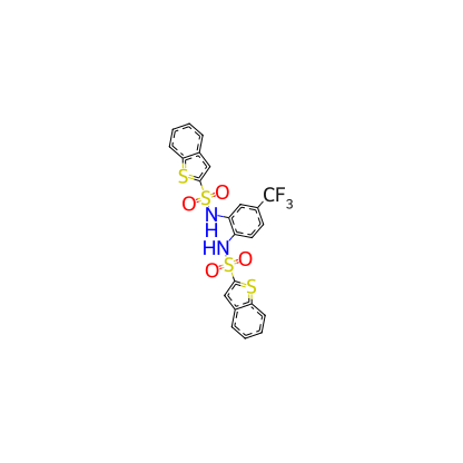 O=S(=O)(Nc1ccc(C(F)(F)F)cc1NS(=O)(=O)c1cc2ccccc2s1)c1cc2ccccc2s1